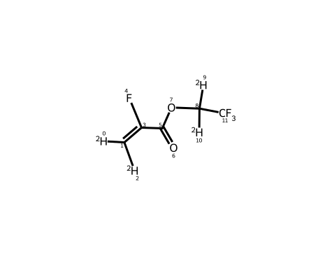 [2H]C([2H])=C(F)C(=O)OC([2H])([2H])C(F)(F)F